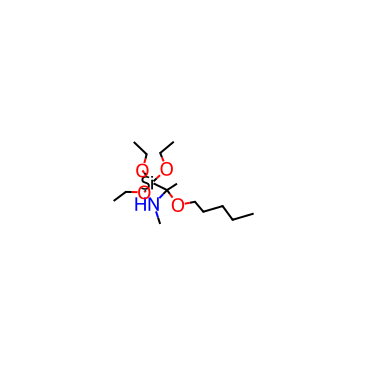 CCCCCOC(C)(NC)[Si](OCC)(OCC)OCC